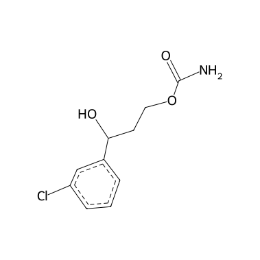 NC(=O)OCCC(O)c1cccc(Cl)c1